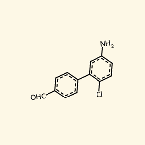 Nc1ccc(Cl)c(-c2ccc(C=O)cc2)c1